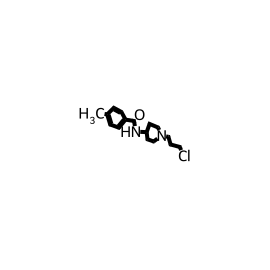 Cc1ccc(C(=O)NC2CCN(CCCCl)CC2)cc1